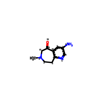 CN1CCc2ncc(N)cc2C(=O)C1